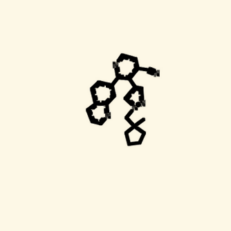 CC1(Cn2cc(-c3c(C#N)ccnc3-c3ccc4cccnc4c3)cn2)CCCC1